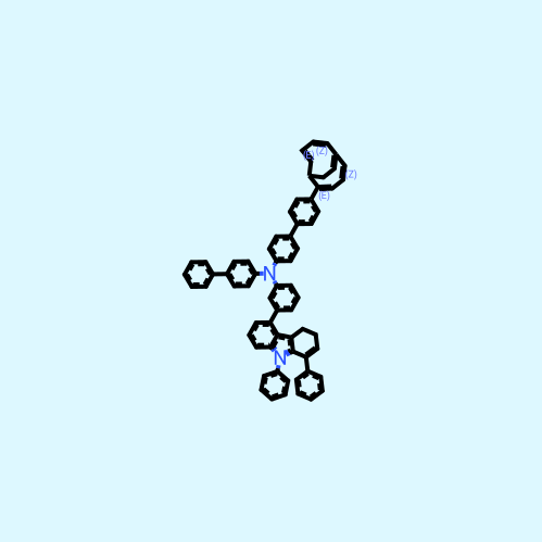 C1=C2/C=C\C=C\C(C1)/C(c1ccc(-c3ccc(N(c4ccc(-c5ccccc5)cc4)c4cccc(-c5cccc6c5c5c(n6-c6ccccc6)C(c6ccccc6)=CCC5)c4)cc3)cc1)=C\C=C/2